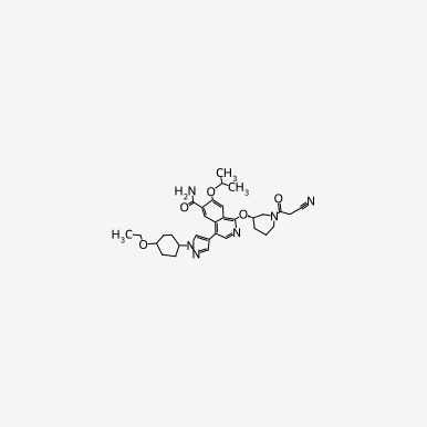 CCOC1CCC(n2cc(-c3cnc(O[C@@H]4CCCN(C(=O)CC#N)C4)c4cc(OC(C)C)c(C(N)=O)cc34)cn2)CC1